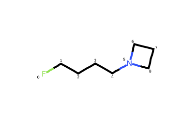 FCCCCN1CCC1